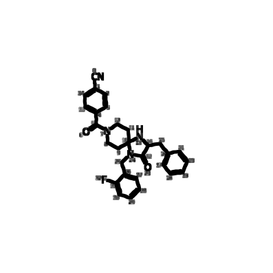 N#Cc1ccc(C(=O)N2CCC3(CC2)NC(Cc2ccccc2)C(=O)N3Cc2ccccc2F)cc1